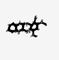 COc1cc(Nc2nc3ccccc3nc2N)c(Br)c(OC)c1